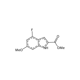 COC(=O)c1cc2c(F)cc(OC)cc2[nH]1